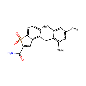 COc1cc(OC)c(Cc2cccc3c2C=C(C(N)=O)S3(=O)=O)c(OC)c1